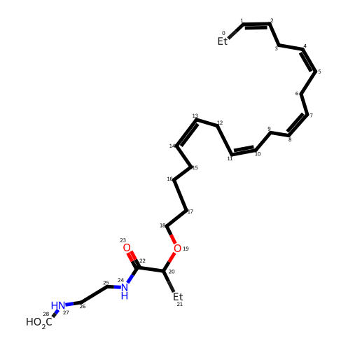 CC/C=C\C/C=C\C/C=C\C/C=C\C/C=C\CCCCOC(CC)C(=O)NCCNC(=O)O